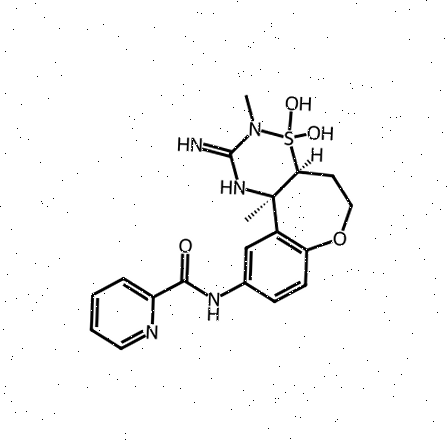 CN1C(=N)N[C@]2(C)c3cc(NC(=O)c4ccccn4)ccc3OCC[C@@H]2S1(O)O